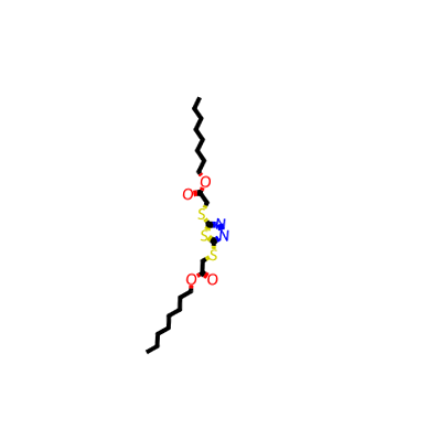 CCCCCCCCOC(=O)CSc1nnc(SCC(=O)OCCCCCCCC)s1